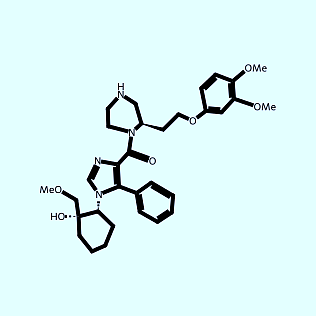 COC[C@]1(O)CCCC[C@H]1n1cnc(C(=O)N2CCNC[C@H]2CCOc2ccc(OC)c(OC)c2)c1-c1ccccc1